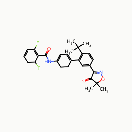 CC1(C)ON=C(c2ccc(C(C)(C)C)c(C3=CC=C(NC(=O)C4=C(F)C=CCC4F)CC3)c2)C1=O